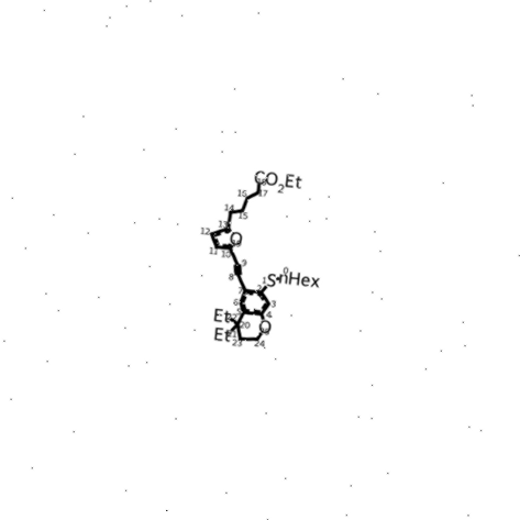 CCCCCCSc1cc2c(cc1C#Cc1ccc(CCCCC(=O)OCC)o1)C(CC)(CC)CCO2